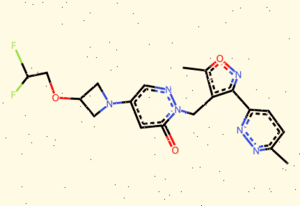 Cc1ccc(-c2noc(C)c2Cn2ncc(N3CC(OCC(F)F)C3)cc2=O)nn1